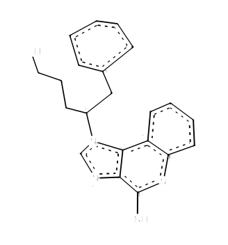 CCCCC(Cc1ccccc1)n1cnc2c(N)nc3ccccc3c21